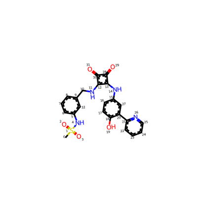 CS(=O)(=O)Nc1cccc(CNc2c(Nc3ccc(O)c(-c4ccccn4)c3)c(=O)c2=O)c1